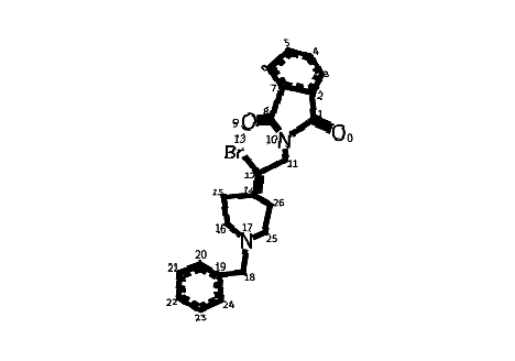 O=C1c2ccccc2C(=O)N1CC(Br)=C1CCN(Cc2ccccc2)CC1